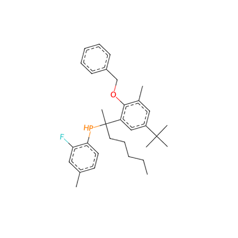 CCCCCC(C)(Pc1ccc(C)cc1F)c1cc(C(C)(C)C)cc(C)c1OCc1ccccc1